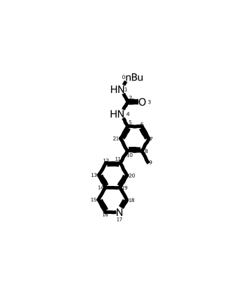 CCCCNC(=O)Nc1ccc(C)c(-c2ccc3ccncc3c2)c1